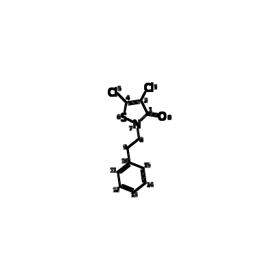 O=c1c(Cl)c(Cl)sn1CCc1ccccc1